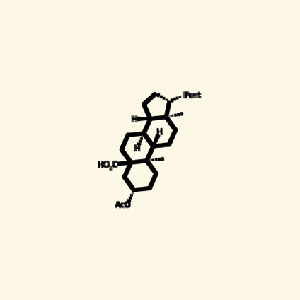 CCC[C@@H](C)[C@H]1CC[C@H]2[C@@H]3CCC4(C(=O)O)C[C@@H](OC(C)=O)CC[C@]4(C)[C@H]3CC[C@]12C